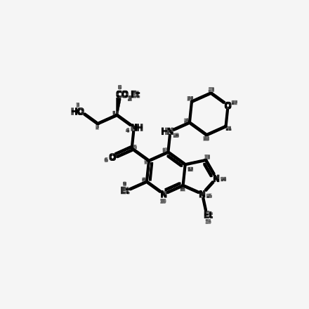 CCOC(=O)[C@H](CO)NC(=O)c1c(CC)nc2c(cnn2CC)c1NC1CCOCC1